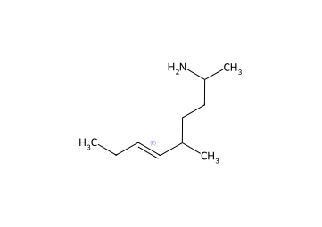 CC/C=C/C(C)CCC(C)N